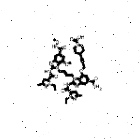 CCn1nc(C)cc1C(=O)Nc1nc2cc(C(=O)NOC)cc(OC)c2n1C/C=C/Cn1c(NC(=O)c2cc(C)nn2CC)nc2cc(C(N)=O)cc(OCC#CC3CCN(C(=O)O)CC3)c21